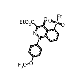 CCOC(=O)c1nn(-c2ccc(OC(F)(F)F)cc2)c2cccc(S(=O)(=O)CC)c2c1=O